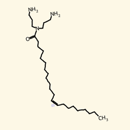 CCCCCCCC/C=C\CCCCCCCCCCCC(=O)N(CCCN)CCCN